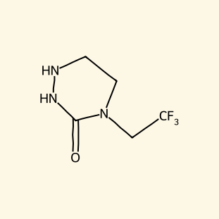 O=C1NNCCN1CC(F)(F)F